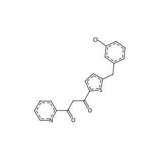 O=C(CC(=O)c1ccc(Cc2cccc(Cl)c2)s1)c1ccccn1